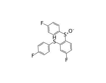 [O-][S+]1c2ccc(F)cc2[SH](c2ccc(F)cc2)c2cc(F)ccc21